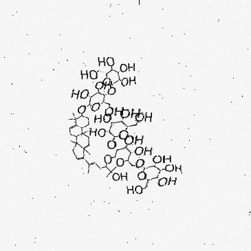 CC(CCC(O[C@@H]1O[C@H](CO[C@@H]2O[C@H](CO)[C@@H](O)[C@H](O)[C@H]2O)[C@@H](O)[C@H](O)[C@H]1O[C@@H]1O[C@H](CO)[C@@H](O)[C@H](O)[C@H]1O)C(C)(C)O)C1CCC2(C)C3CC=C4C(CC[C@H](OC5O[C@H](CO)[C@@H](O[C@@H]6O[C@H](CO)[C@@H](O)[C@H](O)[C@H]6O)[C@H](O)[C@H]5O)C4(C)C)C3(C)CCC12C